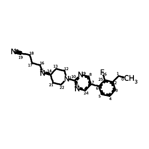 CCc1cccc(-c2cnc(N3CCC(=NCCCC#N)CC3)nc2)c1F